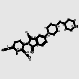 O=C=C1CCC(N2C(=O)c3ccc(N4CCN(CC5CCNCC5)CC4)cc3C2=O)C(=C=O)N1